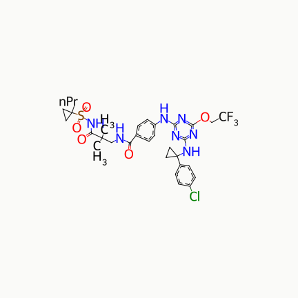 CCCC1(S(=O)(=O)NC(=O)C(C)(C)CNC(=O)c2ccc(Nc3nc(NC4(c5ccc(Cl)cc5)CC4)nc(OCC(F)(F)F)n3)cc2)CC1